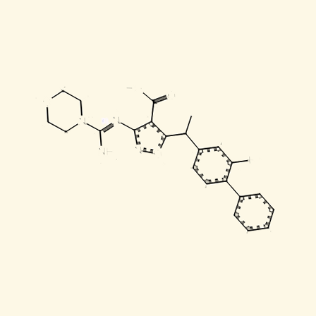 CC(c1ccc(-c2ccccc2)c(F)c1)c1onc(/N=C(\N)N2CCOCC2)c1C(=O)O